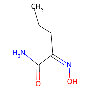 CCC/C(=N/O)C(N)=O